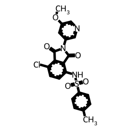 COc1cncc(N2C(=O)c3c(Cl)ccc(NS(=O)(=O)c4ccc(C)cc4)c3C2=O)c1